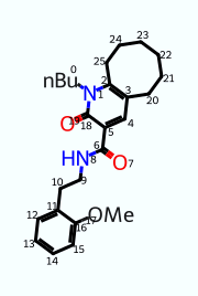 CCCCn1c2c(cc(C(=O)NCCc3ccccc3OC)c1=O)CCCCCC2